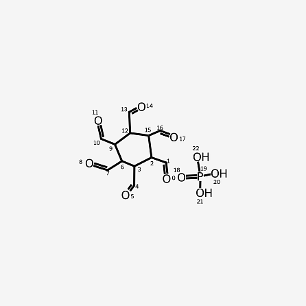 O=CC1C(C=O)C(C=O)C(C=O)C(C=O)C1C=O.O=P(O)(O)O